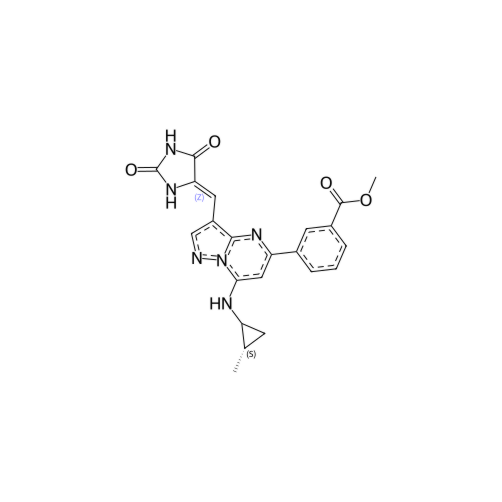 COC(=O)c1cccc(-c2cc(NC3C[C@@H]3C)n3ncc(/C=C4\NC(=O)NC4=O)c3n2)c1